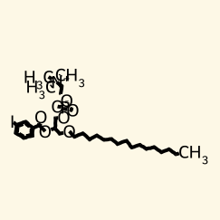 CCCCCCCCCCCCCCCCOCC(COP(=O)([O-])OCC[N+](C)(C)C)OC(=O)c1cccc(I)c1